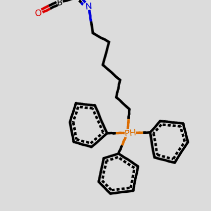 O=B/C=N\CCCCCC[PH](c1ccccc1)(c1ccccc1)c1ccccc1